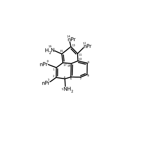 CCCC1=C(CCC)C(N)c2cccc3c(CCC)c(CCC)c(N)c1c23